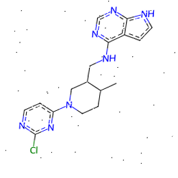 CC1CCN(c2ccnc(Cl)n2)CC1CNc1ncnc2[nH]ccc12